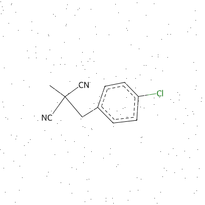 CC(C#N)(C#N)Cc1ccc(Cl)cc1